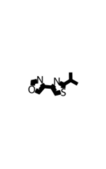 CC(C)c1nc(-c2cocn2)cs1